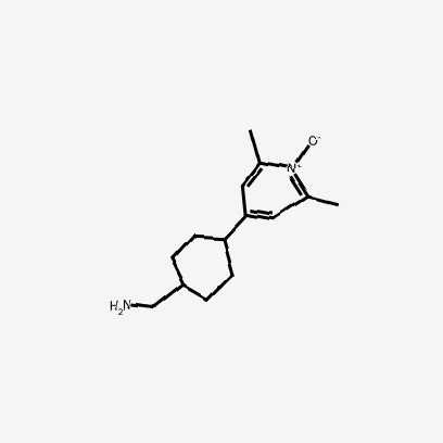 Cc1cc(C2CCC(CN)CC2)cc(C)[n+]1[O-]